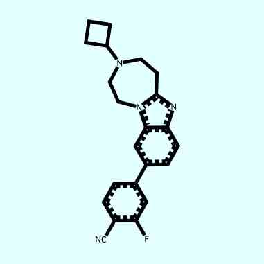 N#Cc1ccc(-c2ccc3nc4n(c3c2)CCN(C2CCC2)CC4)cc1F